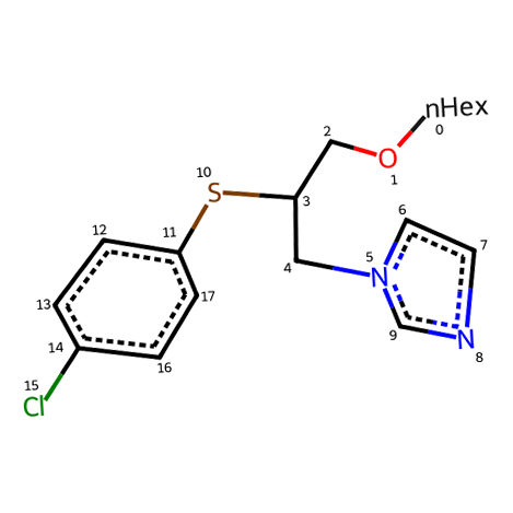 CCCCCCOCC(Cn1ccnc1)Sc1ccc(Cl)cc1